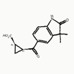 CC1(C)C(=O)Nc2ccc(C(=O)[C@H]3C[C@H]3C(=O)O)cc21